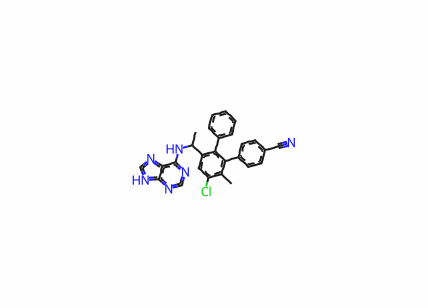 Cc1c(Cl)cc(C(C)Nc2ncnc3[nH]cnc23)c(-c2ccccc2)c1-c1ccc(C#N)cc1